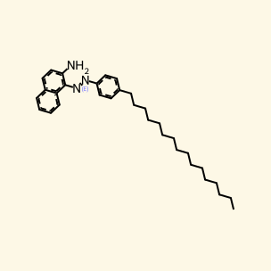 CCCCCCCCCCCCCCCCc1ccc(/N=N/c2c(N)ccc3ccccc23)cc1